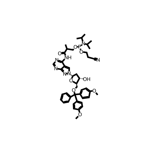 COc1ccc(C(OC[C@H]2O[C@H](n3cc4c(NC(=O)C(C)COP(OCCC#N)N(C(C)C)C(C)C)ncnc4n3)C[C@@H]2O)(c2ccccc2)c2ccc(OC)cc2)cc1